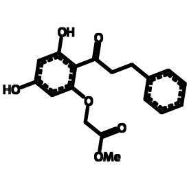 COC(=O)COc1cc(O)cc(O)c1C(=O)CCc1ccccc1